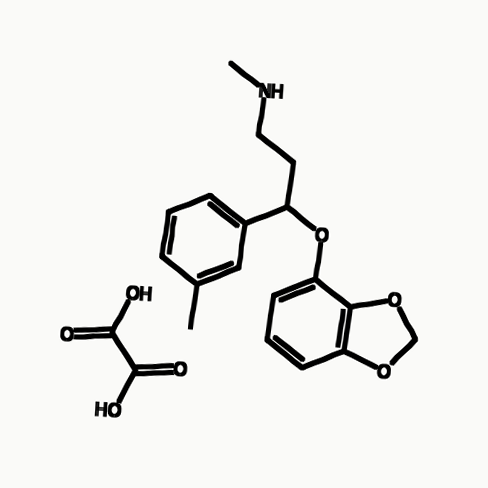 CNCCC(Oc1cccc2c1OCO2)c1cccc(C)c1.O=C(O)C(=O)O